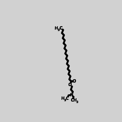 CCCCCCCCCCCCCCCCCCCCCC(=O)OCCCN(CC)CC